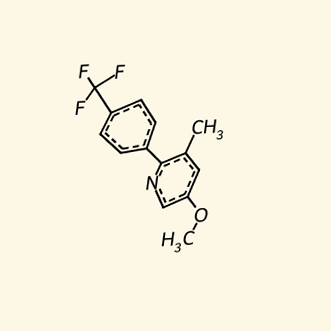 COc1cnc(-c2ccc(C(F)(F)F)cc2)c(C)c1